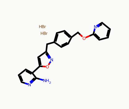 Br.Br.Nc1ncccc1-c1cc(Cc2ccc(COc3ccccn3)cc2)no1